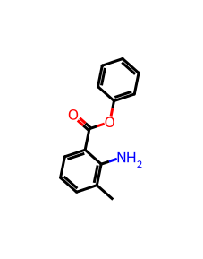 Cc1cccc(C(=O)Oc2ccccc2)c1N